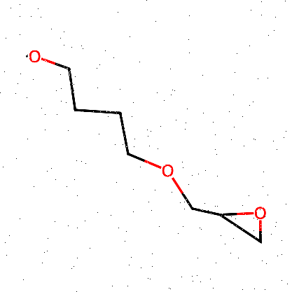 [O]CCCCOCC1CO1